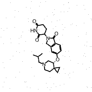 CC(C)CN1CCC2(CC2)[C@@H](Oc2ccc3c(c2)CN(C2CCC(=O)NC2=O)C3=O)C1